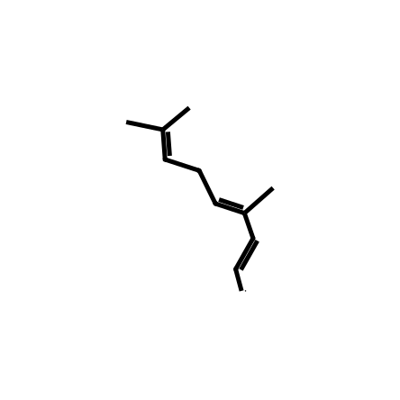 [CH2]C=CC(C)=CCC=C(C)C